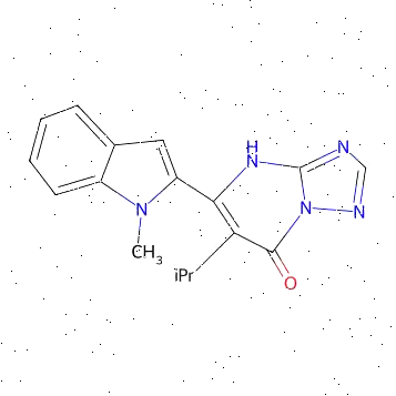 CC(C)c1c(-c2cc3ccccc3n2C)[nH]c2ncnn2c1=O